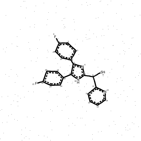 Fc1ccc(-c2nc(C(S)c3ccccn3)[nH]c2-c2ccc(F)cc2)cc1